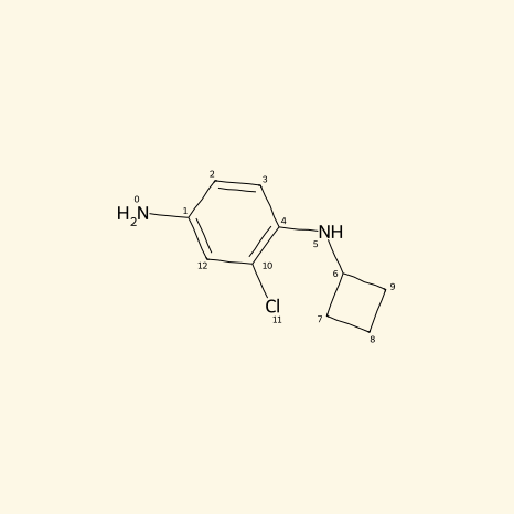 Nc1ccc(NC2CCC2)c(Cl)c1